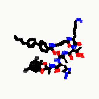 CCCCc1ccc(-c2ccc(C(=O)NCCC(=O)N[C@@H](CCCCN)C(=O)N[C@H](C(=O)N[C@@H](C)C(=O)N[C@@H](Cc3c[nH]cn3)C(=O)N[C@@H](C)B3OC4C[C@@H]5C[C@@H](C5(C)C)[C@]4(C)O3)[C@@H](C)O)cc2)cc1